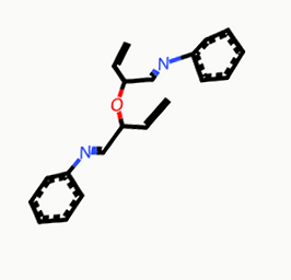 C=CC(C=Nc1ccccc1)OC(C=C)C=Nc1ccccc1